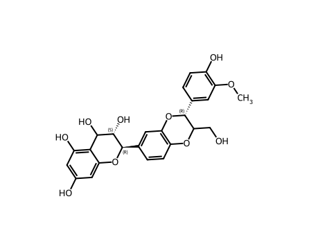 COc1cc([C@H]2Oc3cc([C@H]4Oc5cc(O)cc(O)c5C(O)[C@@H]4O)ccc3OC2CO)ccc1O